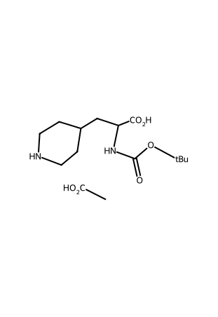 CC(=O)O.CC(C)(C)OC(=O)NC(CC1CCNCC1)C(=O)O